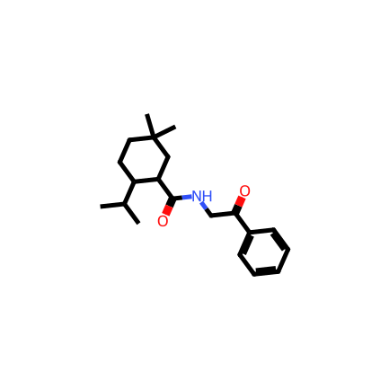 CC(C)C1CCC(C)(C)CC1C(=O)NCC(=O)c1ccccc1